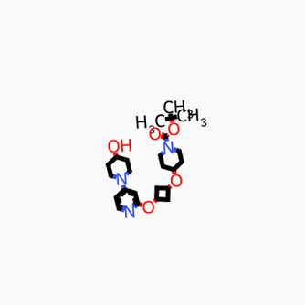 CC(C)(C)OC(=O)N1CCC(OC2CC(Oc3cc(N4CCC(O)CC4)ccn3)C2)CC1